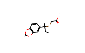 CCC(C)(SCC(=O)O)c1ccc2c(c1)OCO2